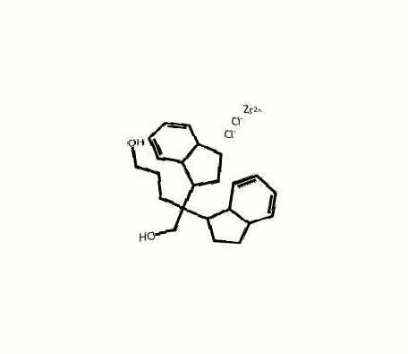 OCCCC(CO)(C1CCC2C=CC=CC21)C1CCC2C=CC=CC21.[Cl-].[Cl-].[Zr+2]